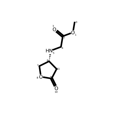 COC(=O)CN[C@H]1COC(=O)C1